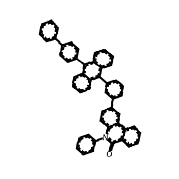 O=c1c2ccccc2c2cc(-c3cccc(-c4c5ccccc5c(-c5ccc(-c6ccccc6)cc5)c5ccccc45)c3)ccc2n1-c1ccccc1